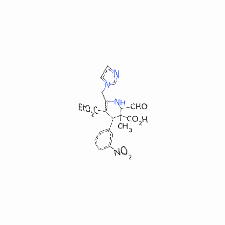 CCOC(=O)C1=C(Cn2ccnc2)NC(C=O)C(C)(C(=O)O)C1c1cccc([N+](=O)[O-])c1